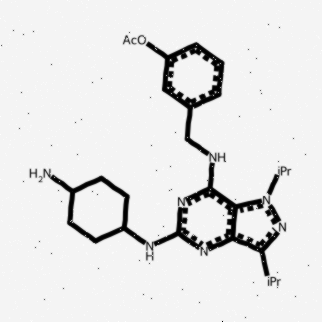 CC(=O)Oc1cccc(CNc2nc(NC3CCC(N)CC3)nc3c(C(C)C)nn(C(C)C)c23)c1